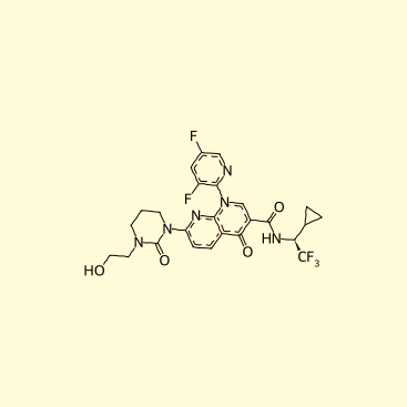 O=C(N[C@@H](C1CC1)C(F)(F)F)c1cn(-c2ncc(F)cc2F)c2nc(N3CCCN(CCO)C3=O)ccc2c1=O